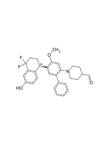 COc1cc(N2CCC(C=O)CC2)c(-c2ccccc2)cc1[C@@H]1CCC(F)(F)c2cc(O)ccc21